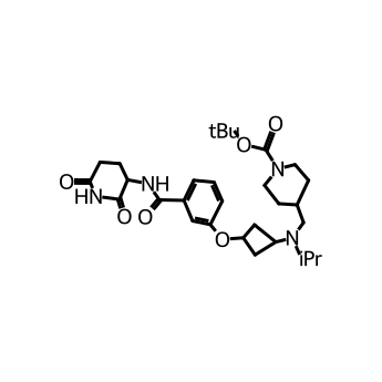 CC(C)N(CC1CCN(C(=O)OC(C)(C)C)CC1)C1CC(Oc2cccc(C(=O)NC3CCC(=O)NC3=O)c2)C1